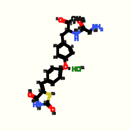 COC(=O)C(Cc1ccc(Oc2ccc(/C=C3\SC(=O)NC3=O)cc2)cc1)NC(=O)CN.Cl